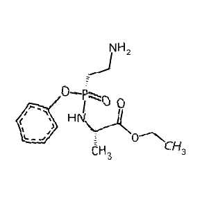 CCOC(=O)[C@H](C)N[P@@](=O)(CCN)Oc1ccccc1